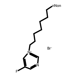 CCCCCCCCCCCCCCCC[n+]1cncc(F)c1.[Br-]